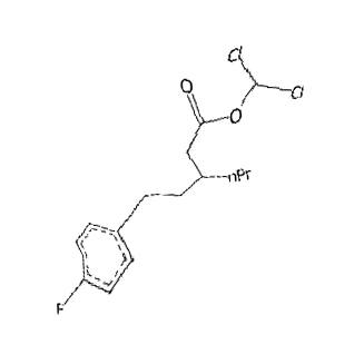 CCCC(CCc1ccc(F)cc1)CC(=O)OC(Cl)Cl